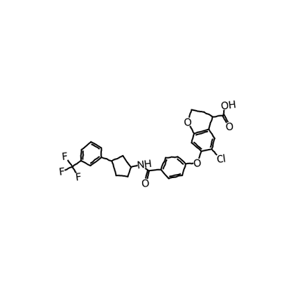 O=C(NC1CCC(c2cccc(C(F)(F)F)c2)C1)c1ccc(Oc2cc3c(cc2Cl)C(C(=O)O)CCO3)cc1